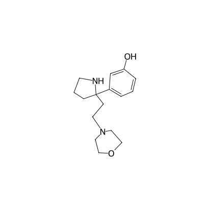 Oc1cccc(C2(CCN3CCOCC3)CCCN2)c1